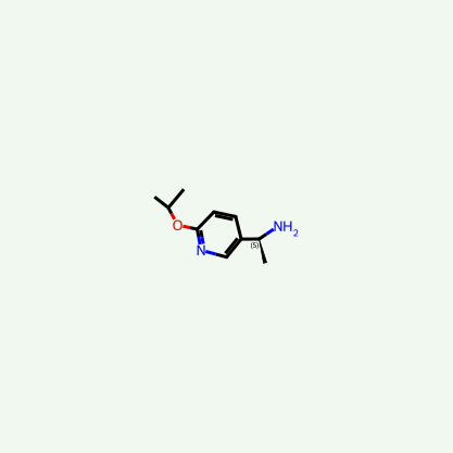 CC(C)Oc1ccc([C@H](C)N)cn1